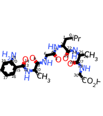 CC(C)CC(NC(=O)CNC(=O)C(C)NC(=O)c1ccccc1N)C(=O)NC(C)C(=O)NCC(=O)O